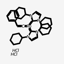 Cl.Cl.[C](=Cc1ccccc1)=[Ru](=[c]1n(C2CCCCC2)ccn1C1CCCCC1)=[c]1n(C2CCCCC2)ccn1C1CCCCC1